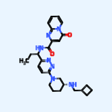 CCC(NC(=O)c1cc(=O)n2ccccc2n1)c1ccc(N2CCC[C@@H](NCC3CCC3)C2)nn1